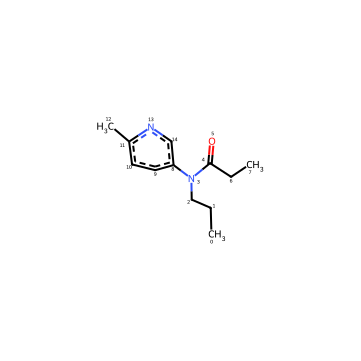 CCCN(C(=O)CC)c1ccc(C)nc1